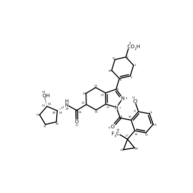 O=C(O)C1CC=C(c2nn(C(=O)c3c(Cl)cccc3C3(C(F)(F)F)CC3)c3c2CCC(C(=O)N[C@@H]2CCC[C@@H]2O)C3)CC1